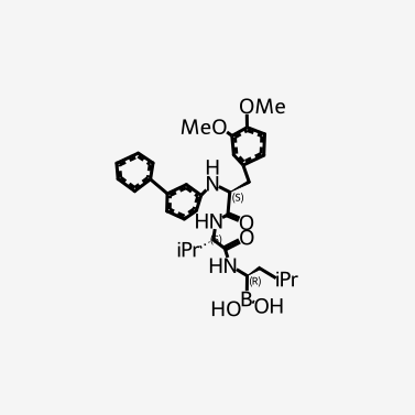 COc1ccc(C[C@H](Nc2cccc(-c3ccccc3)c2)C(=O)N[C@H](C(=O)N[C@@H](CC(C)C)B(O)O)C(C)C)cc1OC